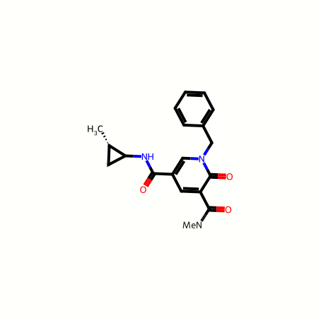 CNC(=O)c1cc(C(=O)NC2C[C@@H]2C)cn(Cc2ccccc2)c1=O